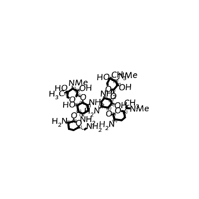 CNC(C)[C@@H]1CC[C@@H](N)[C@@H](O[C@H]2[C@H](O)[C@@H](O[C@H]3OC[C@](C)(O)[C@H](NC)[C@H]3O)[C@H](N)C[C@@H]2N)O1.CN[C@@H]1[C@@H](O)[C@@H](O[C@@H]2[C@@H](O)[C@H](O[C@H]3O[C@H](CN)CC[C@H]3N)[C@@H](N)C[C@H]2N)OC[C@]1(C)O